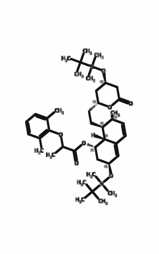 Cc1cccc(C)c1OC(C)C(=O)O[C@H]1C[C@H](O[Si](C)(C)C(C)(C)C)C=C2C=C[C@H](C)[C@H](CC[C@@H]3C[C@@H](O[Si](C)(C)C(C)(C)C)CC(=O)O3)[C@H]21